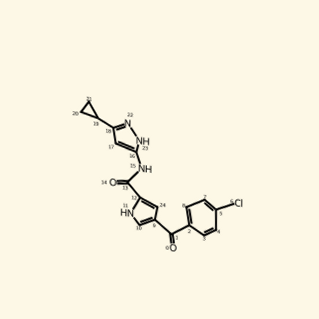 O=C(c1ccc(Cl)cc1)c1c[nH]c(C(=O)Nc2cc(C3CC3)n[nH]2)c1